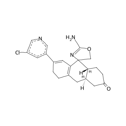 NC1=NC2(CO1)C1=C(CCC(c3cncc(Cl)c3)=C1)C[C@@H]1CC(=O)CC[C@H]12